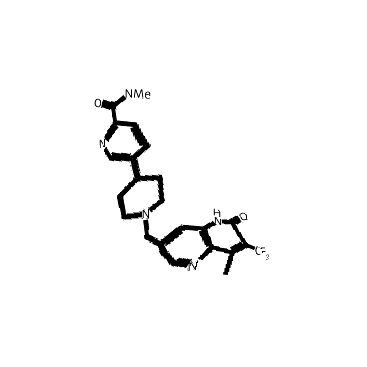 CNC(=O)c1ccc(C2CCN(Cc3cnc4c(C)c(C(F)(F)F)c(=O)[nH]c4c3)CC2)cn1